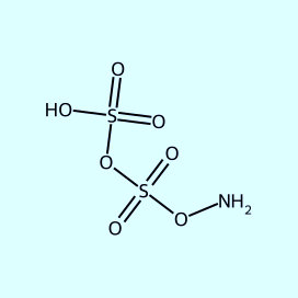 NOS(=O)(=O)OS(=O)(=O)O